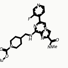 CNC(=O)c1cn2cc(-c3ccncc3F)nc(NCC3CCN(C(=O)OC(C)(C)C)CC3)c2n1